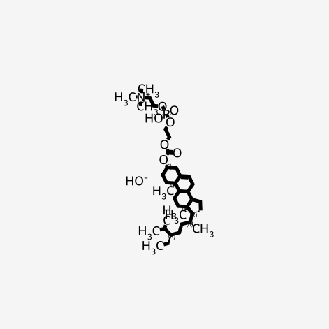 CC[C@H](CC[C@@H](C)[C@H]1CCC2C3CC=C4C[C@@H](OC(=O)OCCOP(=O)(O)OCC[N+](C)(C)C)CC[C@]4(C)C3CC[C@@]21C)C(C)C.[OH-]